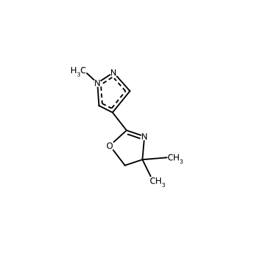 Cn1cc(C2=NC(C)(C)CO2)cn1